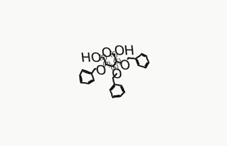 O[C@H]1O[C@H](O)[C@@H](OCc2ccccc2)[C@H](OCc2ccccc2)[C@H]1OCc1ccccc1